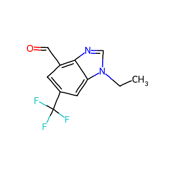 CCn1cnc2c(C=O)cc(C(F)(F)F)cc21